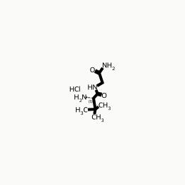 CC(C)(C)[C@H](N)C(=O)NCC(N)=O.Cl